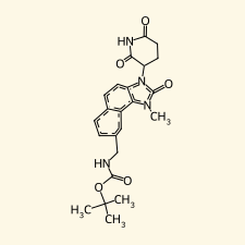 Cn1c(=O)n(C2CCC(=O)NC2=O)c2ccc3ccc(CNC(=O)OC(C)(C)C)cc3c21